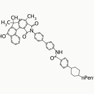 CCCCCC1CCC(c2ccc(C(=O)Nc3ccc(-c4ccc(N5C(=O)c6c(C)cc7c(c6C5=O)-c5c(cc(O)c6ccccc56)C7(C)C)cc4)cc3)cc2)CC1